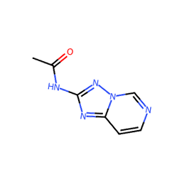 CC(=O)Nc1nc2ccncn2n1